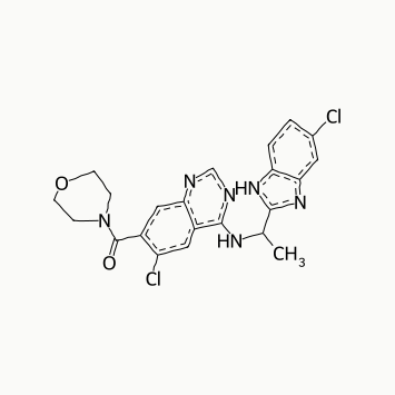 CC(Nc1ncnc2cc(C(=O)N3CCOCC3)c(Cl)cc12)c1nc2cc(Cl)ccc2[nH]1